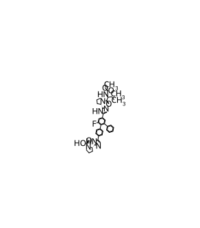 COC(=O)N[C@H](C(=O)N1CCC[C@H]1c1ncc(-c2cc(F)c(-c3ccc(-c4cnc([C@@H]5CCCN5C(=O)O)[nH]4)cc3)c(-c3ccccc3)c2)[nH]1)C(C)C